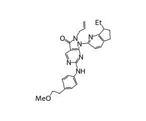 C=CCn1c(=O)c2cnc(Nc3ccc(CCOC)cc3)nc2n1-c1ccc2c(n1)C(CC)CC2